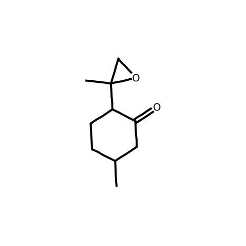 CC1CCC(C2(C)CO2)C(=O)C1